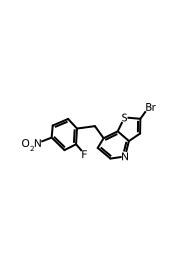 O=[N+]([O-])c1ccc(Cc2ccnc3cc(Br)sc23)c(F)c1